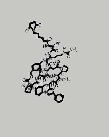 CC[C@H](C)[C@@H]([C@@H](CC(=O)N1CCC[C@H]1[C@H](OC)[C@@H](C)C(=O)N[C@@H](Cc1ccccc1)c1nc(-c2ccccc2)c[nH]1)OC)N(C)C(=O)[C@@H](NC(=O)C1[C@H]2CC[C@H](C2)N1C(=O)OCc1ccc(NC(=O)[C@H](CCCNC(N)=O)NC(=O)[C@@H](NC(=O)CCCCCN2C(=O)C=CC2=O)C(C)C)cc1)C(C)C